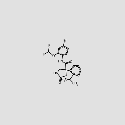 CC(C)c1ccccc1C1(C(=O)Nc2ccc(Br)cc2OC(F)F)CNC(=O)C1